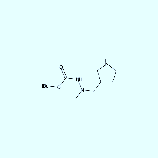 CN(CC1CCNC1)NC(=O)OC(C)(C)C